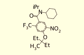 CCC(C)(CC)Oc1cc(C(F)(F)F)c(C(=O)N(C(C)C)C2CCCCC2)cc1[N+](=O)[O-]